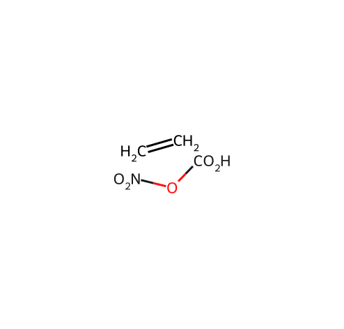 C=C.O=C(O)O[N+](=O)[O-]